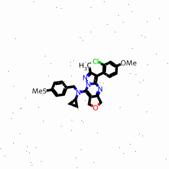 COc1ccc(-c2c(C)nn3c(N(Cc4ccc(SC)cc4)C4CC4)c4c(nc23)COC4)c(Cl)c1